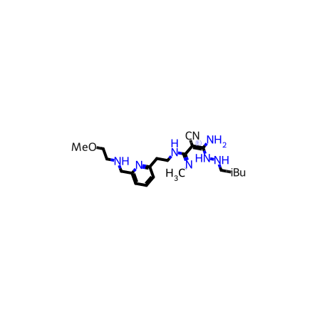 CCC(C)CNN/C(N)=C(/C#N)C(=NC)NCCc1cccc(CNCCOC)n1